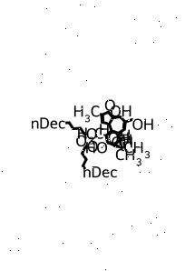 CC1=C[C@H]2[C@]3(O)[C@H](C)[C@@H](O)[C@@]4(O)[C@H]([C@@H]3C=C(CO)C[C@@]2(O)C1=O)C4(C)C.CCCCCCCCCCCCCC(=O)OC(=O)CCCCCCCCCCCCC